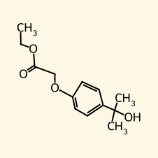 CCOC(=O)COc1ccc(C(C)(C)O)cc1